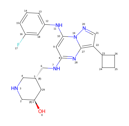 O[C@H]1CNC[C@H](CNc2cc(Nc3cccc(F)c3)n3ncc(C4CCC4)c3n2)C1